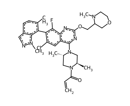 C=CC(=O)N1C[C@H](C)N(c2nc(OCC3COCCN3C)nc3c(F)c(-c4c(C)ccc5cnn(C)c45)c(Cl)cc23)C[C@H]1C